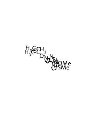 COC(=O)C1(SC)CCCN1c1ncnc2c1ccn2COCC[Si](C)(C)C